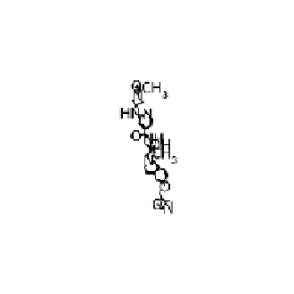 CC(=O)N1CC(Nc2cc(C(=O)NC[C@@](C)(O)CN3CCc4cc(OCc5cnco5)ccc4C3)ccn2)C1